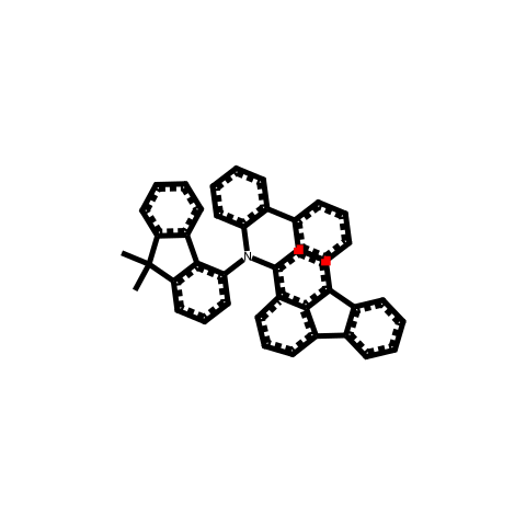 CC1(C)c2ccccc2-c2c(N(c3ccccc3-c3ccccc3)c3ccc4c5c(cccc35)-c3ccccc3-4)cccc21